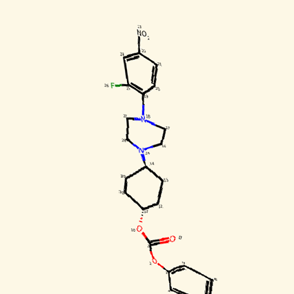 O=C(Oc1ccc([N+](=O)[O-])cc1)O[C@H]1CC[C@H](N2CCN(c3ccc([N+](=O)[O-])cc3F)CC2)CC1